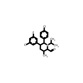 CC1CC(c2cc(F)cc(Cl)c2)C(c2ccc(Cl)cc2)N(C(C)C)C1C=O